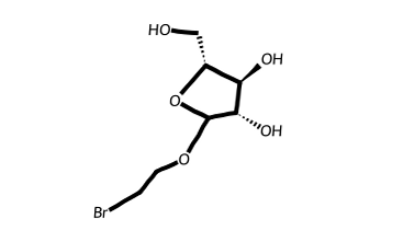 OC[C@H]1OC(OCCBr)[C@@H](O)[C@@H]1O